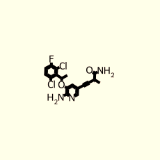 C[C](C#Cc1cnc(N)c(OC(C)c2c(Cl)ccc(F)c2Cl)c1)C(N)=O